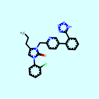 CCCc1cn(-c2ccccc2Cl)c(=O)n1Cc1ccc(-c2ccccc2-c2nnn[nH]2)cn1